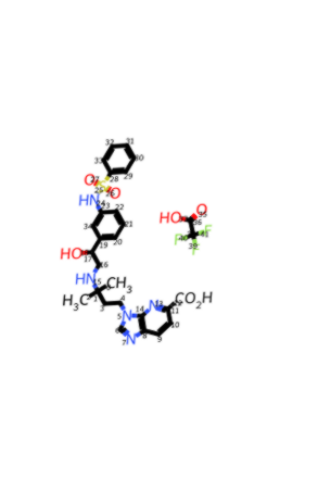 CC(C)(CCn1cnc2ccc(C(=O)O)nc21)NCC(O)c1cccc(NS(=O)(=O)c2ccccc2)c1.O=C(O)C(F)(F)F